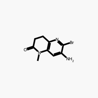 CN1C(=O)CCc2nc(Br)c(N)cc21